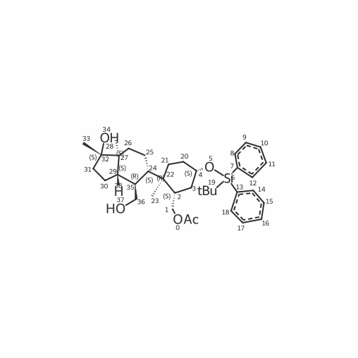 CC(=O)OC[C@H]1C[C@@H](O[Si](c2ccccc2)(c2ccccc2)C(C)(C)C)CC[C@]1(C)[C@H]1CC[C@@]2(C)[C@@H](CC[C@]2(C)O)[C@@H]1CO